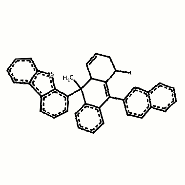 CC1(c2cccc3c2sc2ccccc23)c2ccccc2C(c2ccc3ccccc3c2)=C2C(I)CC=CC21